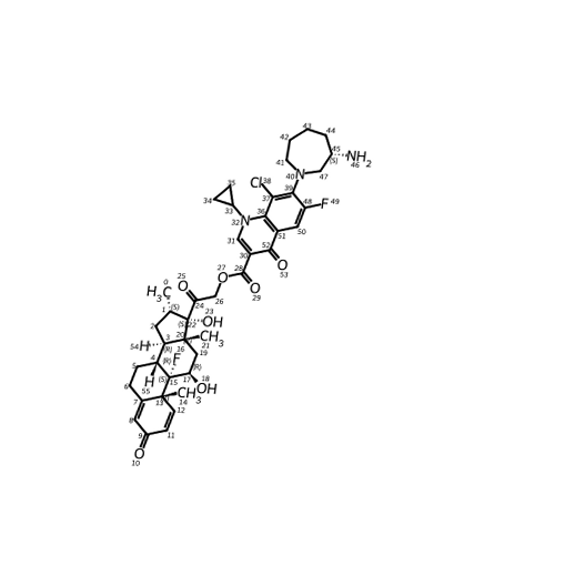 C[C@H]1C[C@@H]2[C@H]3CCC4=CC(=O)C=C[C@@]4(C)[C@]3(F)[C@H](O)C[C@@]2(C)[C@]1(O)C(=O)COC(=O)c1cn(C2CC2)c2c(Cl)c(N3CCCC[C@H](N)C3)c(F)cc2c1=O